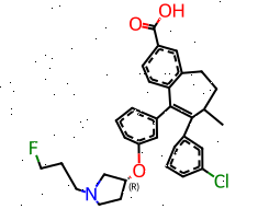 CC1CCc2cc(C(=O)O)ccc2C(c2cccc(O[C@@H]3CCN(CCCF)C3)c2)=C1c1cccc(Cl)c1